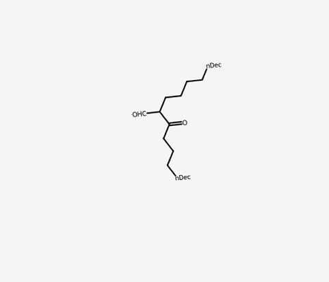 CCCCCCCCCCCCCCC([C]=O)C(=O)CCCCCCCCCCCCC